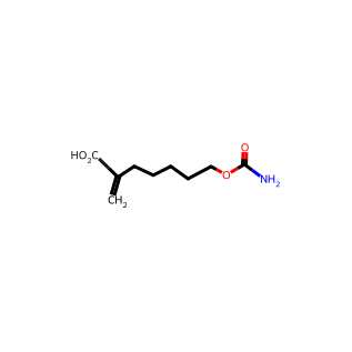 C=C(CCCCCOC(N)=O)C(=O)O